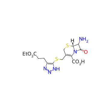 CCOC(=O)CCc1nn[nH]c1SCC1=C(C(=O)O)N2C(=O)C(N)[C@H]2SC1